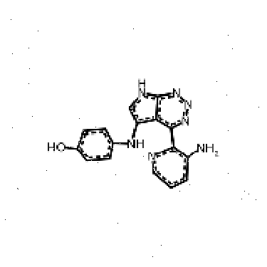 Nc1cccnc1-c1nnnc2[nH]cc(Nc3ccc(O)cc3)c12